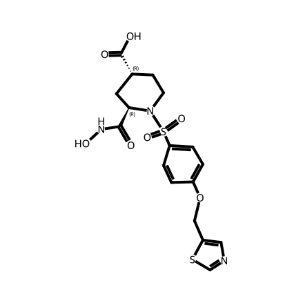 O=C(O)[C@@H]1CCN(S(=O)(=O)c2ccc(OCc3cncs3)cc2)[C@@H](C(=O)NO)C1